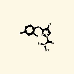 CCCN(CC)C(=O)n1cc(Cl)c(Sc2ccc(F)cc2F)n1